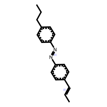 C/C=C/c1ccc(/N=N/c2ccc(CCC)cc2)cc1